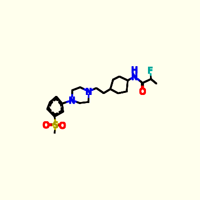 CC(F)C(=O)NC1CCC(CCN2CCN(c3cccc(S(C)(=O)=O)c3)CC2)CC1